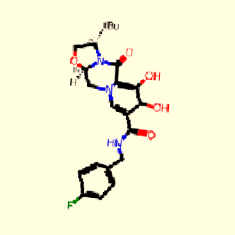 CC(C)(C)[C@H]1CO[C@@H]2CN3C=C(C(=O)NCc4ccc(F)cc4)C(O)C(O)=C3C(=O)N21